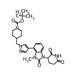 Cn1c(=O)n(C2CCC(=O)NC2=O)c2cccc(-c3cnn(CC4CCN(C(=O)OC(C)(C)C)CC4)c3)c21